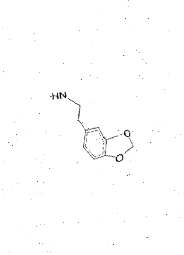 [NH]CCc1ccc2c(c1)OCO2